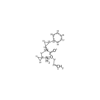 C=CCOC(=O)N(CC1(N)CC1)[C@H]1CC1c1ccccc1